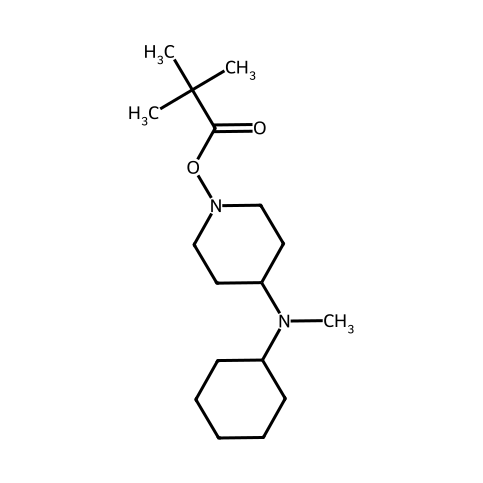 CN(C1CCCCC1)C1CCN(OC(=O)C(C)(C)C)CC1